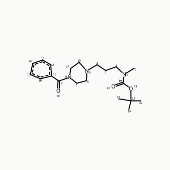 CN(CCCN1CCN(C(=O)c2ccccc2)CC1)C(=O)OC(C)(C)C